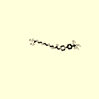 CC(C)OCCOCCOCCNC(=O)CN1CCN(c2ccc(C(C)(C)C)cc2)CC1